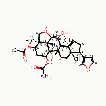 CC(=O)O[C@H]1C[C@@H](OC(C)=O)[C@@]2(C)CO[C@@H]3[C@@H](O)[C@@]4(C)C5=CC[C@@H](c6ccoc6)[C@]5(C)CC[C@@H]4[C@]1(C)[C@@H]32